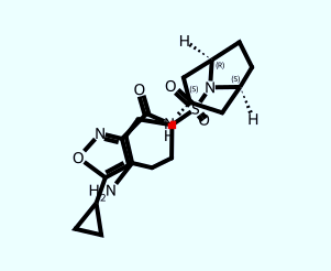 NC1CCC(S(=O)(=O)N2[C@@H]3CC[C@H]2C[C@H](NC(=O)c2cc(C4CC4)on2)C3)CC1